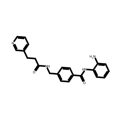 Nc1ccccc1NC(=O)c1ccc(CNC(=O)CCc2cccnc2)cc1